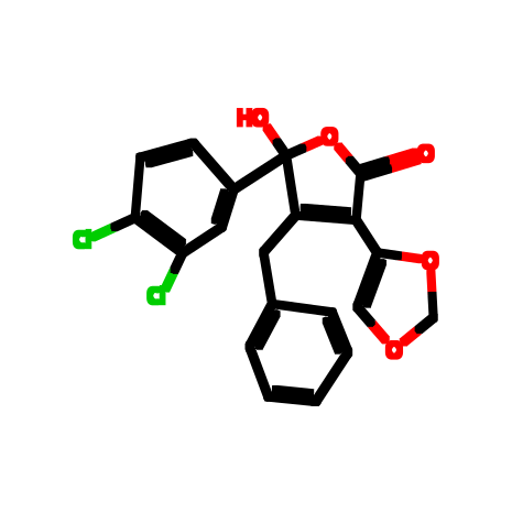 O=C1OC(O)(c2ccc(Cl)c(Cl)c2)C(Cc2ccccc2)=C1C1=COCO1